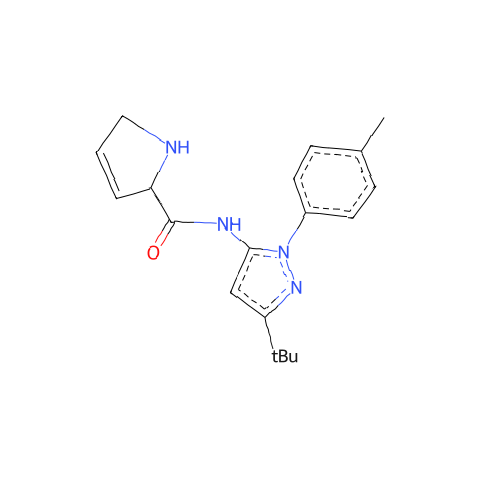 Cc1ccc(-n2nc(C(C)(C)C)cc2NC(=O)C2C=CCN2)cc1